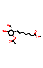 COC(=O)CCCCCC[C@@H]1[C@@H](C=O)[C@H](O)C[C@@H]1OC(C)=O